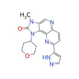 Cn1c(=O)n(C2CCOCC2)c2c3nc(-c4ccn[nH]4)ccc3ncc21